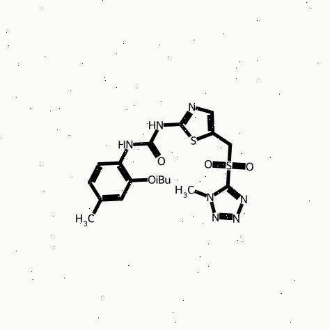 Cc1ccc(NC(=O)Nc2ncc(CS(=O)(=O)c3nnnn3C)s2)c(OCC(C)C)c1